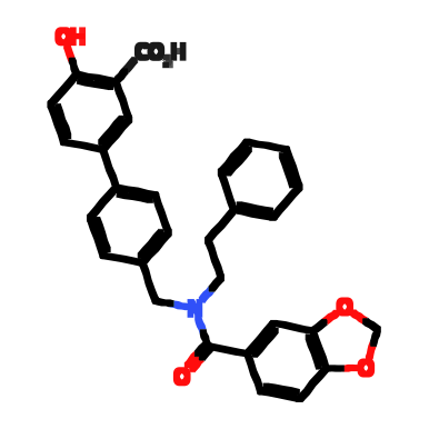 O=C(O)c1cc(-c2ccc(CN(CCc3ccccc3)C(=O)c3ccc4c(c3)OCO4)cc2)ccc1O